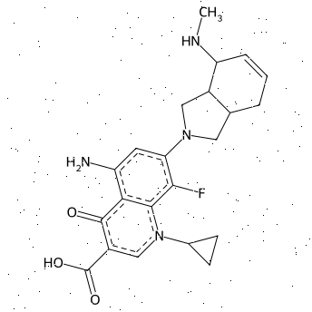 CNC1C=CCC2CN(c3cc(N)c4c(=O)c(C(=O)O)cn(C5CC5)c4c3F)CC21